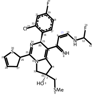 CSC[C@]1(O)CC2=C(C(=N)/C=C\NC(C)F)[C@H](c3ccc(F)cc3Cl)N=C(C3CC=CS3)N2C1